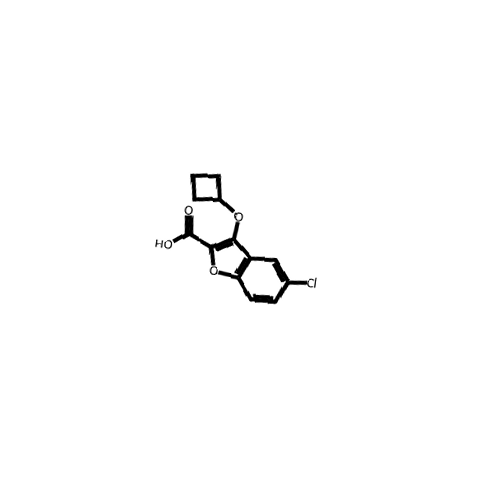 O=C(O)c1oc2ccc(Cl)cc2c1OC1CCC1